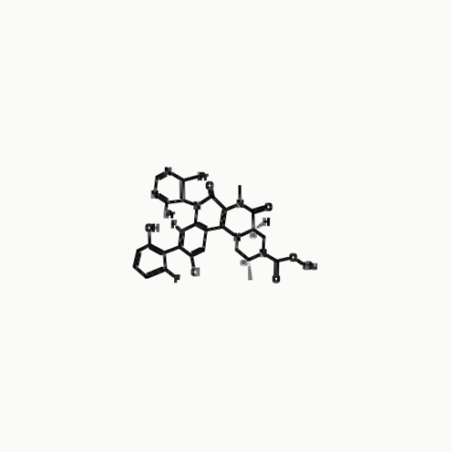 CC(C)c1ncnc(C(C)C)c1-n1c(=O)c2c(c3cc(Cl)c(-c4c(O)cccc4F)c(F)c31)N1C[C@@H](C)N(C(=O)OC(C)(C)C)C[C@@H]1C(=O)N2C